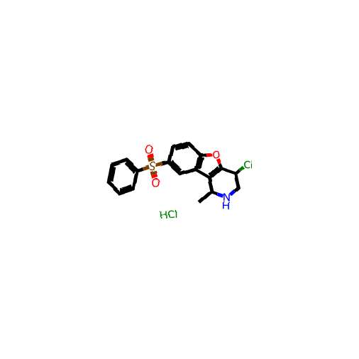 CC1NCC(Cl)c2oc3ccc(S(=O)(=O)c4ccccc4)cc3c21.Cl